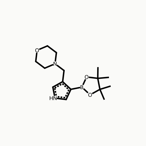 CC1(C)OB(c2c[nH]cc2CN2CCOCC2)OC1(C)C